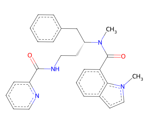 CN(C(=O)c1cccc2ccn(C)c12)[C@H](CCNC(=O)c1ccccn1)Cc1ccccc1